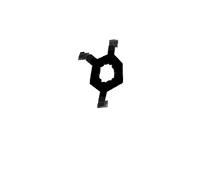 [CH2]Cc1ccc(C(C)=O)cc1C(C)=O